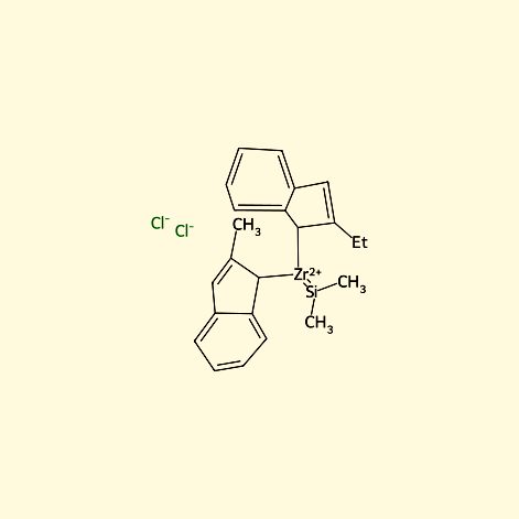 CCC1=Cc2ccccc2[CH]1[Zr+2]([CH]1C(C)=Cc2ccccc21)=[Si](C)C.[Cl-].[Cl-]